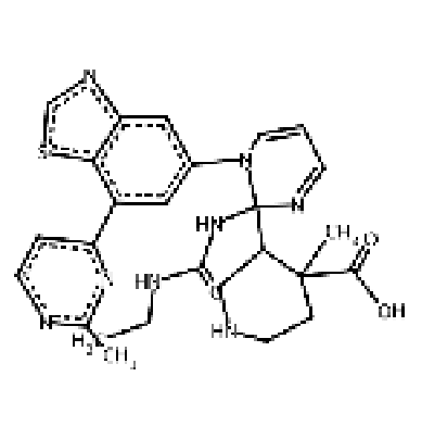 CCNC(=O)NC1(C2CNCCC2(C)C(=O)O)N=CC=CN1c1cc(-c2ccnc(C)n2)c2scnc2c1